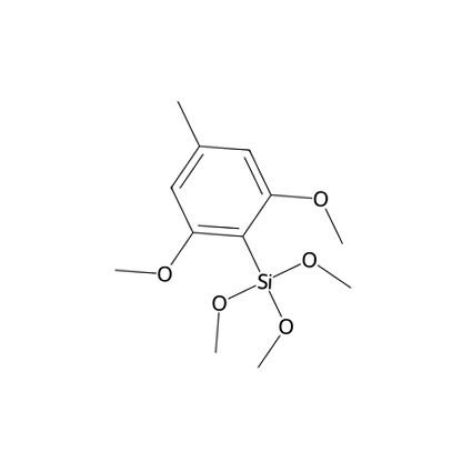 COc1cc(C)cc(OC)c1[Si](OC)(OC)OC